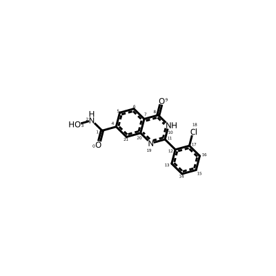 O=C(NO)c1ccc2c(=O)[nH]c(-c3ccccc3Cl)nc2c1